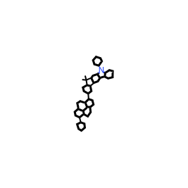 CC1(C)c2ccc(-c3ccc4ccc5c(-c6ccccc6)ccc6ccc3c4c65)cc2-c2cc3c4ccccc4n(-c4ccccc4)c3cc21